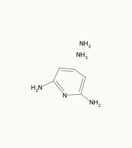 N.N.Nc1cccc(N)n1